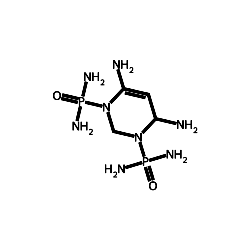 NC1=CC(N)N(P(N)(N)=O)CN1P(N)(N)=O